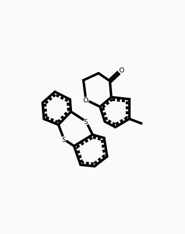 Cc1ccc2c(c1)C(=O)CCO2.c1ccc2c(c1)Sc1ccccc1S2